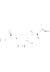 C=C(C)C(=O)NC(CCC(N)=O)C(N)=O